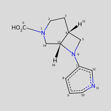 O=C(O)N1CC[C@@H]2CN(c3cccnc3)[C@@H]2C1